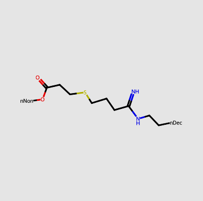 CCCCCCCCCCCCNC(=N)CCCSCCC(=O)OCCCCCCCCC